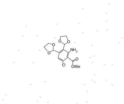 COC(=O)c1c(Cl)cc(C2OCCO2)c(C2OCCO2)c1N